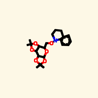 CC1(C)OC2OC(CON3CCCc4ccccc43)C3OC(C)(C)OC3C2O1